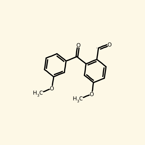 COc1cccc(C(=O)c2cc(OC)ccc2[C]=O)c1